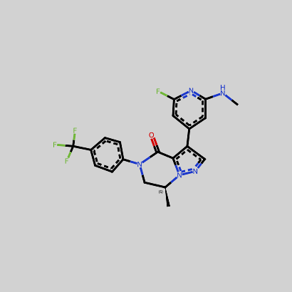 CNc1cc(-c2cnn3c2C(=O)N(c2ccc(C(F)(F)F)cc2)C[C@@H]3C)cc(F)n1